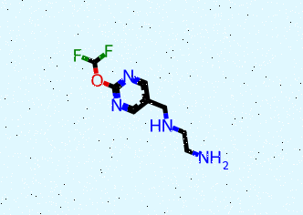 NCCNCc1cnc(OC(F)F)nc1